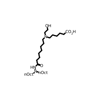 CCCCCCCCN(CCCCCCCC)NC(=O)CCCCCCCN(CCO)CCCCCC(=O)O